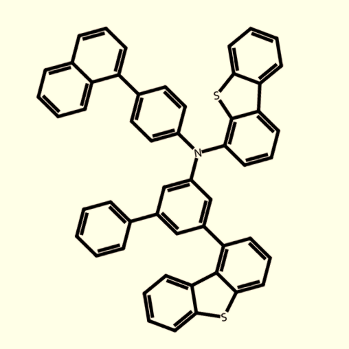 c1ccc(-c2cc(-c3cccc4sc5ccccc5c34)cc(N(c3ccc(-c4cccc5ccccc45)cc3)c3cccc4c3sc3ccccc34)c2)cc1